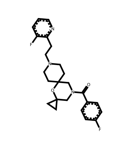 O=C(c1ccc(F)cc1)N1CC2(CCN(CCc3ncccc3F)CC2)OC2(CC2)C1